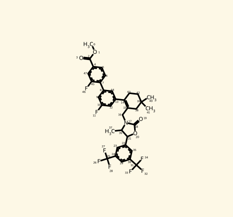 COC(=O)c1ccc(-c2cc(F)cc(C3=C(CN4C(=O)OC(c5cc(C(F)(F)F)cc(C(F)(F)F)c5)C4C)CC(C)(C)CC3)c2)c(F)c1